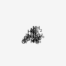 CC(C)C(=O)O[C@H]1[C@H](c2ccc3c(N)ncnn23)O[C@](CC#N)(COCN[C@@H](C)C(=O)O[C@H]2CCOC2)[C@H]1OC(=O)C(C)C